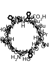 CCCC[C@H]1C(=O)N(C)[C@@H](CCCC)C(=O)N[C@@H](CC(C)C)C(=O)N[C@H](C(=O)NCC(N)=O)CNCC(=O)N[C@@H](Cc2ccc(O)cc2)C(=O)N(C)[C@@H](C)C(=O)N[C@@H](CC(N)=O)C(=O)N2CCC[C@H]2C(=O)N[C@@H](Cc2cnc[nH]2)C(=O)N[C@@H](CC(C)C)C(=O)N2C[C@H](O)C[C@H]2C(=O)N[C@@H](Cc2c[nH]c3ccccc23)C(=O)N[C@@H](CO)C(=O)N[C@@H](Cc2cn(CC(=O)O)c3ccccc23)C(=O)N1C